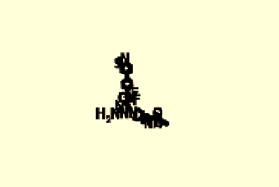 CCOC(=O)C1CC2(CCN(c3cc(O[C@H](c4ccc(-c5ccc6ncsc6c5)cc4)C(F)(F)F)nc(N)n3)CC2)CN1